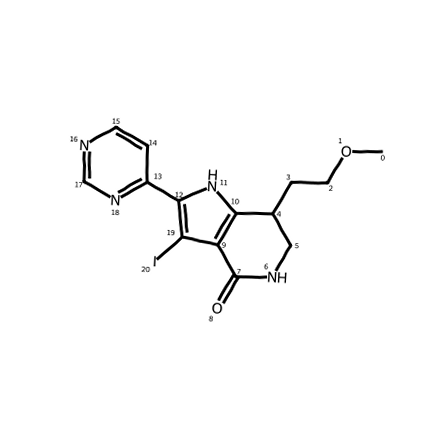 COCCC1CNC(=O)c2c1[nH]c(-c1ccncn1)c2I